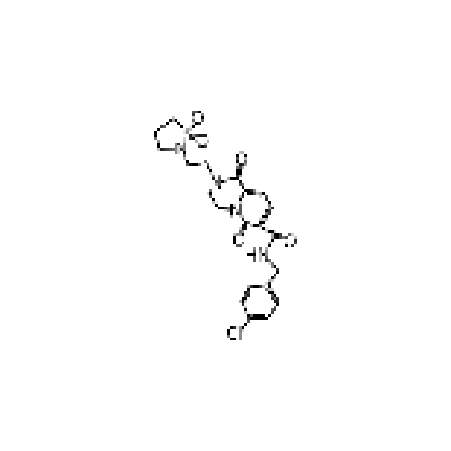 O=C(NCc1ccc(Cl)cc1)c1ccc2n(c1=O)CCN(CCN1CCCS1(=O)=O)C2=O